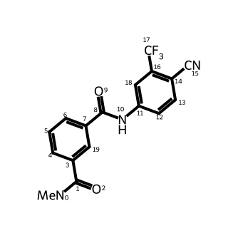 CNC(=O)c1cccc(C(=O)Nc2ccc(C#N)c(C(F)(F)F)c2)c1